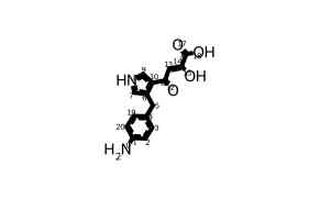 Nc1ccc(Cc2c[nH]cc2C(=O)/C=C(\O)C(=O)O)cc1